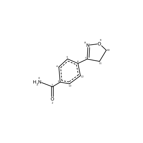 NC(=O)c1ccc(C2=NOCC2)cc1